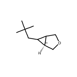 CC(C)(C)CC1C2COC[C@H]21